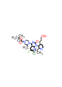 CC(C)c1nccc(CCCO)c1-n1c(=O)nc(N2CCN(C(=O)OC(C)(C)C)C[C@@H]2C)c2cc(F)c(Cl)nc21